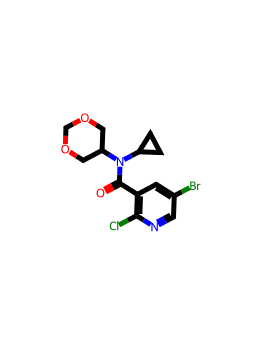 O=C(c1cc(Br)cnc1Cl)N(C1CC1)C1COCOC1